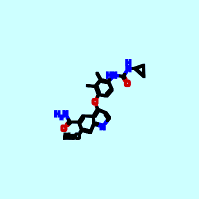 COc1cc2nccc(Oc3ccc(NC(=O)NC4CC4)c(C)c3C)c2cc1C(N)=O